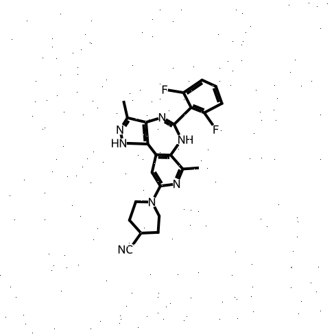 Cc1n[nH]c2c1N=C(c1c(F)cccc1F)Nc1c-2cc(N2CCC(C#N)CC2)nc1C